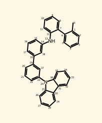 Cc1ccccc1-c1ccccc1Nc1cccc(-c2cccc(-n3c4ccccc4c4ccccc43)c2)c1